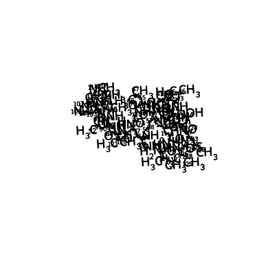 CCC(C)C(N)C(=O)NC(CCCCN)C(=O)NC(C(=O)NC(CCSC)C(=O)NC(CC(=O)O)C(=O)NC(C(=O)NC(CC(C)C)C(=O)NC(C)C(=O)NC(CCCCN)C(=O)NC(CC(C)C)C(=O)NCC(=O)NC(CCCCN)C(=O)NC(C(=O)NC(CC(C)C)C(=O)NC(C)C(=O)NC(Cc1cnc[nH]1)C(=O)NC(C(N)=O)C(C)C)C(C)C)C(C)CC)C(C)CC